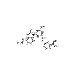 COc1nc(NCc2cccc(B(O)O)c2)nc(-n2c(C)cc3c(CN)cccc32)n1